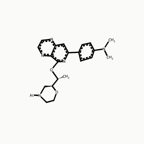 CC(=O)N1CCO[C@H]([C@@H](C)Oc2nc(-c3ccc(N(C)C)cc3)cc3nccnc23)C1